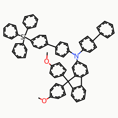 COc1ccc(C2(c3ccc(OC)cc3)c3ccccc3-c3ccc(N(c4ccc(-c5ccccc5)cc4)c4ccc(-c5ccc([Si](c6ccccc6)(c6ccccc6)c6ccccc6)cc5)cc4)cc32)cc1